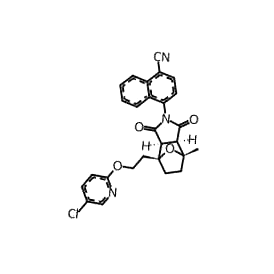 C[C@@]12CC[C@@](CCOc3ccc(Cl)cn3)(O1)[C@H]1C(=O)N(c3ccc(C#N)c4ccccc34)C(=O)[C@H]12